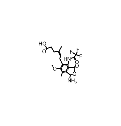 COc1c(C)c2c(c(NC(=O)C(F)(F)F)c1CC=C(C)CCC(=O)O)C(=O)OC2N